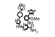 COc1c(Nc2nc(Nc3cnn(C4CCN(C(=O)OC(C)(C)C)CC4)c3)ncc2C(N)=O)cccc1-c1ncn(C)n1